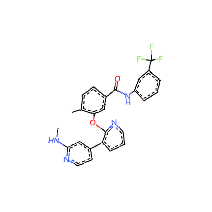 CNc1cc(-c2cccnc2Oc2cc(C(=O)Nc3cccc(C(F)(F)F)c3)ccc2C)ccn1